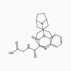 O=C(O)CNC(=O)c1nc2ccccc2n(C2CC3CCC(C2)N3C2CCCCCCC2)c1=O